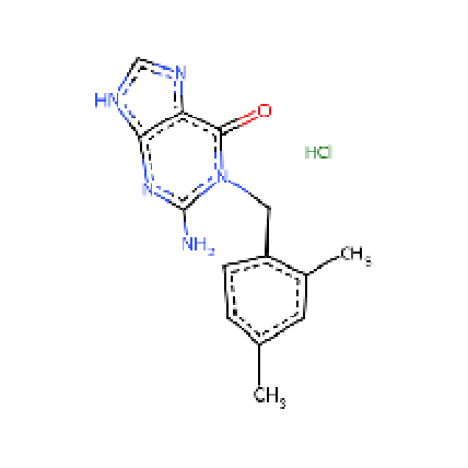 Cc1ccc(Cn2c(N)nc3[nH]cnc3c2=O)c(C)c1.Cl